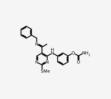 CSc1ncc(C(C)=NCc2ccccc2)c(Nc2cccc(OC(N)=O)c2)n1